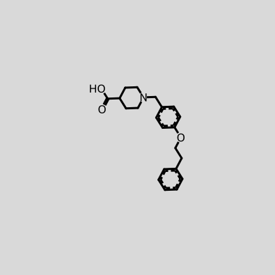 O=C(O)C1CCN(Cc2ccc(OCCc3ccccc3)cc2)CC1